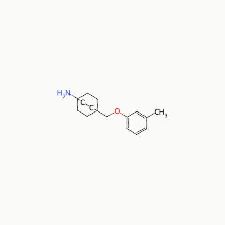 Cc1cccc(OCC23CCC(N)(CC2)CC3)c1